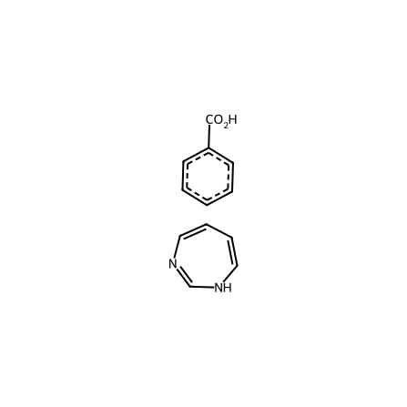 C1=CN=CNC=C1.O=C(O)c1ccccc1